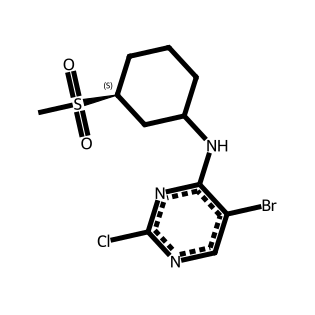 CS(=O)(=O)[C@H]1CCCC(Nc2nc(Cl)ncc2Br)C1